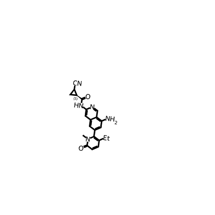 CCc1ccc(=O)n(C)c1-c1cc(N)c2cnc(NC(=O)[C@H]3CC3C#N)cc2c1